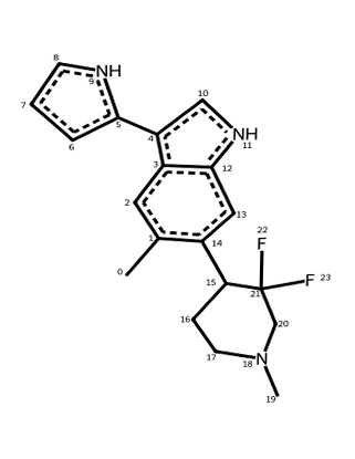 Cc1cc2c(-c3ccc[nH]3)c[nH]c2cc1C1CCN(C)CC1(F)F